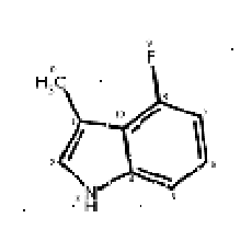 Cc1c[nH]c2cccc(F)c12